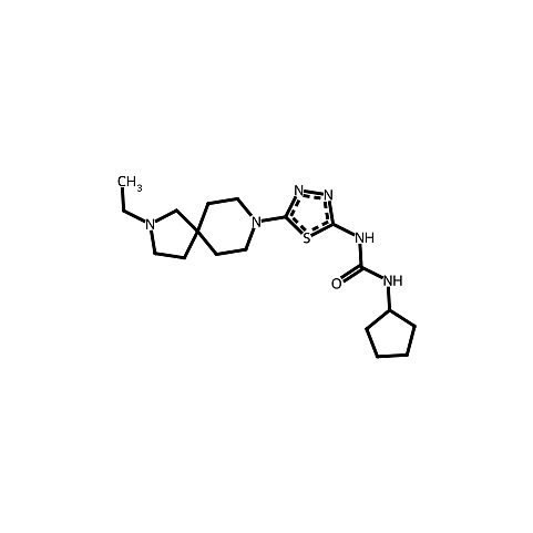 CCN1CCC2(CCN(c3nnc(NC(=O)NC4CCCC4)s3)CC2)C1